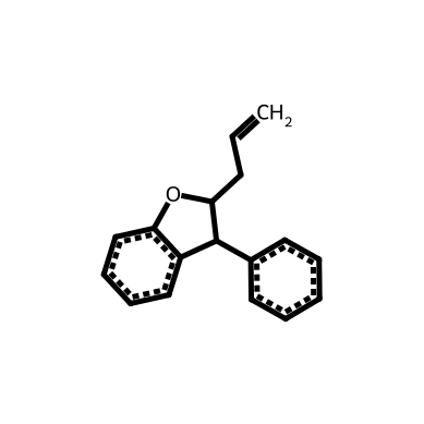 C=CCC1Oc2ccccc2C1c1ccccc1